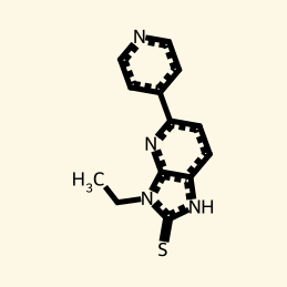 CCn1c(=S)[nH]c2ccc(-c3ccncc3)nc21